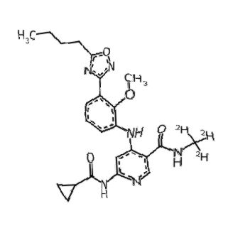 [2H]C([2H])([2H])NC(=O)c1cnc(NC(=O)C2CC2)cc1Nc1cccc(-c2noc(CCCC)n2)c1OC